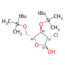 CC(C)(C)[Si](C)(C)OC[C@H]1O[C@H](O)[C@@H](Cl)[C@@H]1O[Si](C)(C)C(C)(C)C